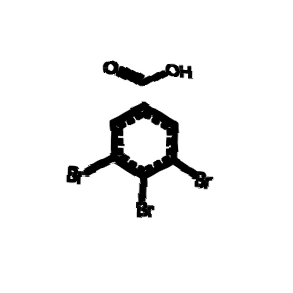 Brc1cccc(Br)c1Br.O=CO